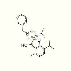 Cc1ccc(C(C)C)c2c1C(O)[C@]1(CN(Cc3ccccc3)C[C@@H]1C(C)C)O2